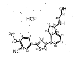 CC(C)Oc1ccc(-c2nc(-c3cccc4c3CC[C@H]4NCCO)ns2)cc1C#N.Cl